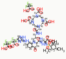 Cc1cc(C)c(S(=O)(=O)N[C@@H](CNC(=O)C2CC(=O)c3ccc(CNc4ncc[nH]4)cc3N2CCCNC(=O)CN2CCN(CC(=O)O)CCN(CC(=O)O)CCN(CC(=O)O)CC2)C(=O)O)c(C)c1.O=C(O)C(F)(F)F.O=C(O)C(F)(F)F.O=C(O)C(F)(F)F